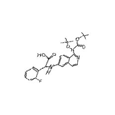 CC(C)(C)OC(=O)N(OC(C)(C)C)c1nccc2cc(NC(C(=O)O)c3ccccc3F)ccc12